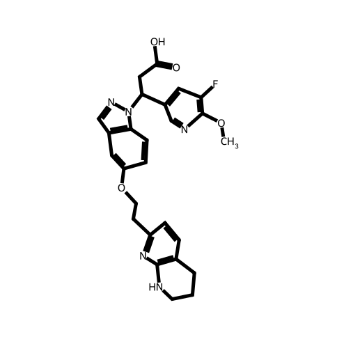 COc1ncc(C(CC(=O)O)n2ncc3cc(OCCc4ccc5c(n4)NCCC5)ccc32)cc1F